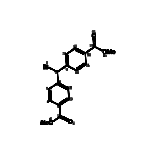 COC(=O)c1ccc(C(Br)c2ccc(C(=O)OC)cc2)cc1